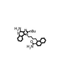 CCCCc1nc2c(N)nc3ccccc3c2n1CCCCc1c(C(N)=O)ccc2ccccc12